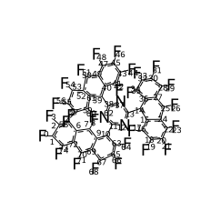 Fc1c(F)c(F)c2c(F)c3c(-c4nc(-c5c6c(F)c(F)c(F)c(F)c6c(F)c6c(F)c(F)c(F)c(F)c56)nc(-c5c6c(F)c(F)c(F)c(F)c6c(F)c6c(F)c(F)c(F)c(F)c56)n4)c(F)c(F)c(F)c3c(F)c2c1F